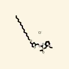 CCCCCCCCCCCCCCOCC1COC(COC(=O)N(Cc2cccc[n+]2CC)C(C)=O)C1.[Cl-]